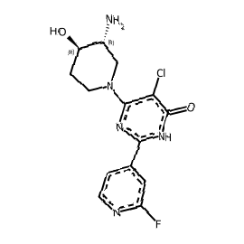 N[C@@H]1CN(c2nc(-c3ccnc(F)c3)[nH]c(=O)c2Cl)CC[C@H]1O